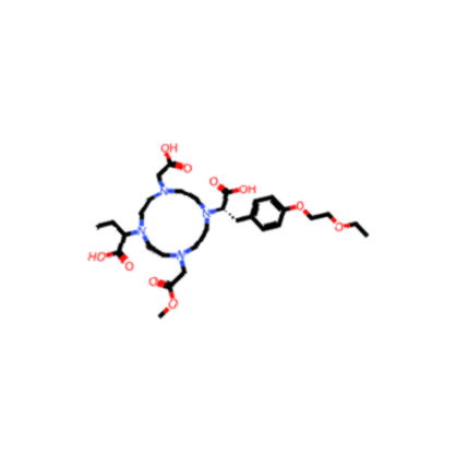 CCOCCOc1ccc(C[C@@H](C(=O)O)N2CCN(CC(=O)O)CCN(C(CC)C(=O)O)CCN(CC(=O)OC)CC2)cc1